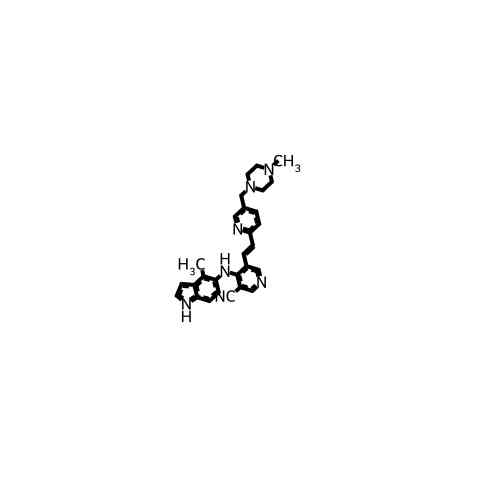 Cc1c(Nc2c(C#N)cncc2C=Cc2ccc(CN3CCN(C)CC3)cn2)ccc2[nH]ccc12